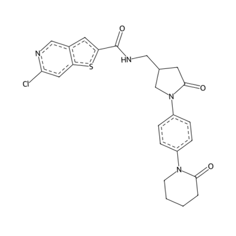 O=C(NCC1CC(=O)N(c2ccc(N3CCCCC3=O)cc2)C1)c1cc2cnc(Cl)cc2s1